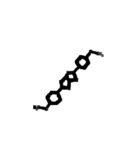 COc1ccc(-c2nc3sc(-c4ccc(OC)cc4)nc3s2)cc1